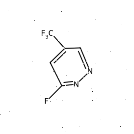 Fc1cc(C(F)(F)F)cnn1